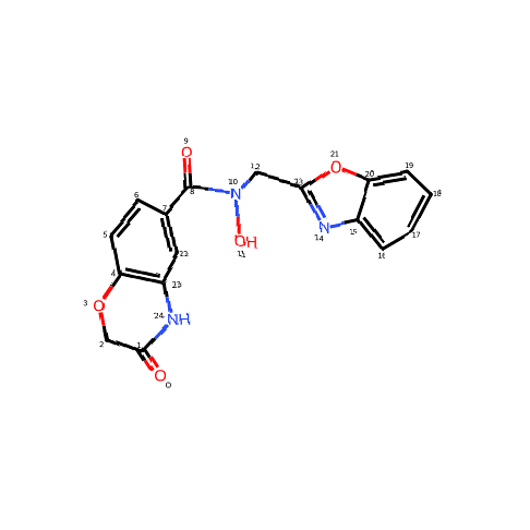 O=C1COc2ccc(C(=O)N(O)Cc3nc4ccccc4o3)cc2N1